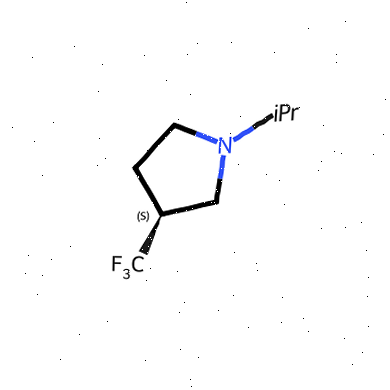 CC(C)N1CC[C@H](C(F)(F)F)C1